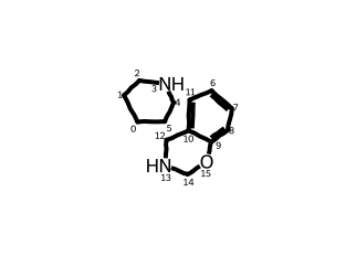 C1CCNCC1.c1ccc2c(c1)CNCO2